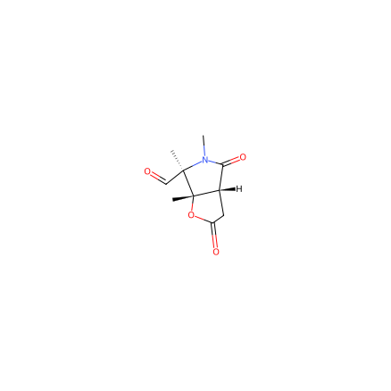 CN1C(=O)[C@@H]2CC(=O)O[C@]2(C)[C@@]1(C)C=O